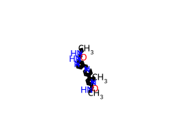 CCNC(=O)Nc1cc(CN2CC=C(c3ccc(C(=O)NC)nc3C)CC2)ccn1